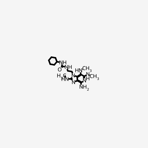 CNc1nc(N)c2nc(NC)n(CCNC(=O)NC3CCCCC3)c2c1NC